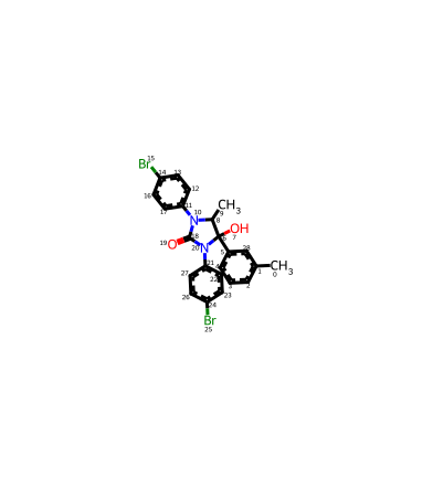 Cc1cccc(C2(O)C(C)N(c3ccc(Br)cc3)C(=O)N2c2ccc(Br)cc2)c1